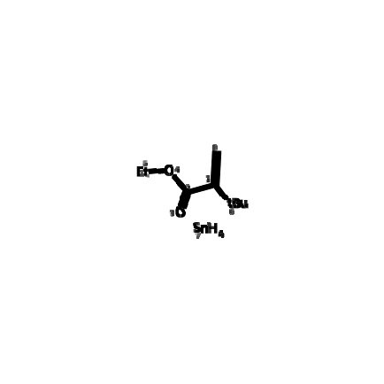 C=C(C(=O)OCC)C(C)(C)C.[SnH4]